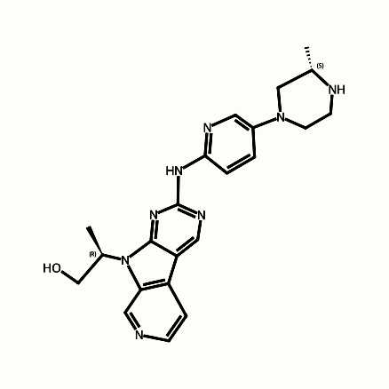 C[C@H](CO)n1c2cnccc2c2cnc(Nc3ccc(N4CCN[C@@H](C)C4)cn3)nc21